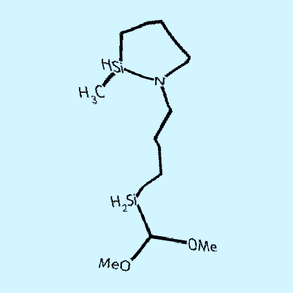 COC(OC)[SiH2]CCCN1CCC[SiH]1C